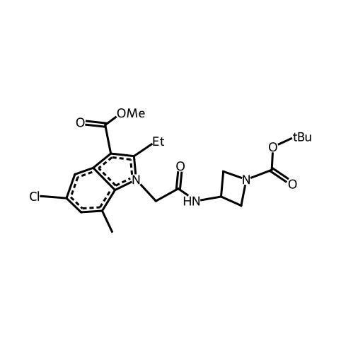 CCc1c(C(=O)OC)c2cc(Cl)cc(C)c2n1CC(=O)NC1CN(C(=O)OC(C)(C)C)C1